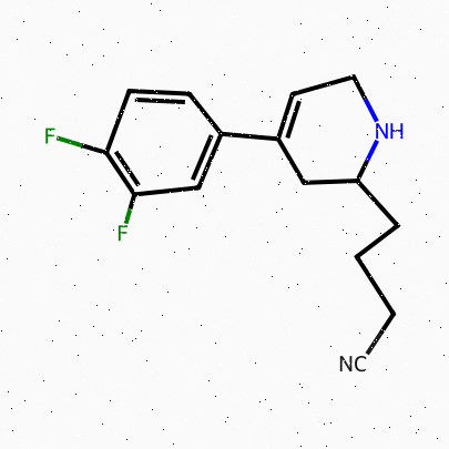 N#CCCCC1CC(c2ccc(F)c(F)c2)=CCN1